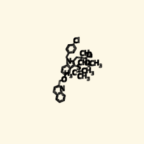 COC(=O)C(C)(C)Cc1c(SC(C)(C)C)c2cc(OCc3ccc4ccccc4n3)ccc2n1Cc1ccc(Cl)cc1